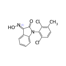 Cc1ccc(Cl)c(N2C(=O)/C(=N/O)c3ccccc32)c1Cl